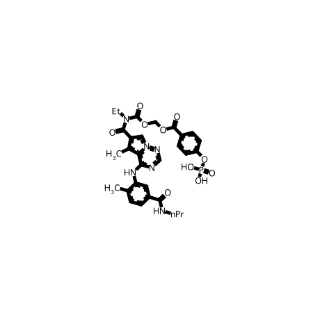 CCCNC(=O)c1ccc(C)c(Nc2ncnn3cc(C(=O)N(CC)C(=O)OCOC(=O)c4ccc(OP(=O)(O)O)cc4)c(C)c23)c1